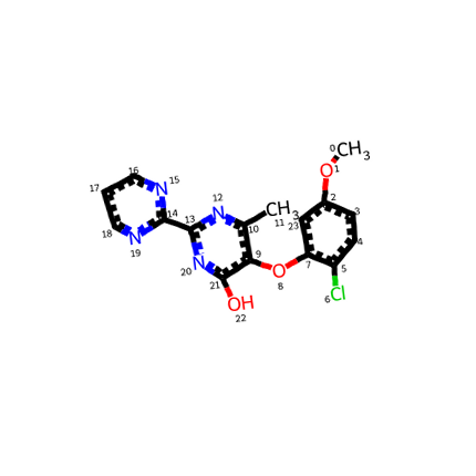 COc1ccc(Cl)c(Oc2c(C)nc(-c3ncccn3)nc2O)c1